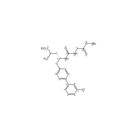 CCOC(=O)C(C)C[C@@H](Cc1ccc(-c2cccc(Cl)c2)cc1)NC(=O)NCC(=O)OC(C)(C)C